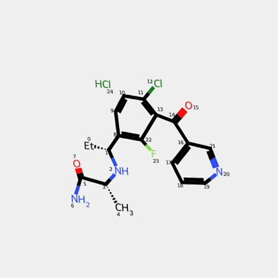 CC[C@@H](N[C@H](C)C(N)=O)c1ccc(Cl)c(C(=O)c2cccnc2)c1F.Cl